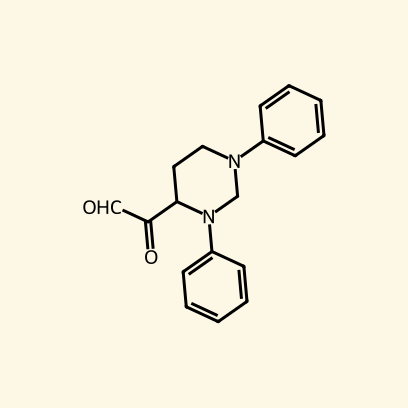 O=CC(=O)C1CCN(c2ccccc2)CN1c1ccccc1